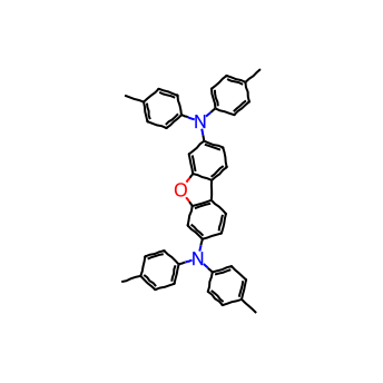 Cc1ccc(N(c2ccc(C)cc2)c2ccc3c(c2)oc2cc(N(c4ccc(C)cc4)c4ccc(C)cc4)ccc23)cc1